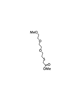 COCCOCCOCCSCC(=O)OC